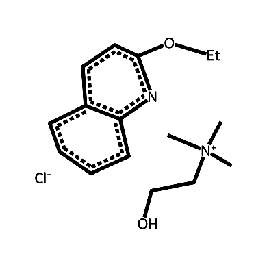 CCOc1ccc2ccccc2n1.C[N+](C)(C)CCO.[Cl-]